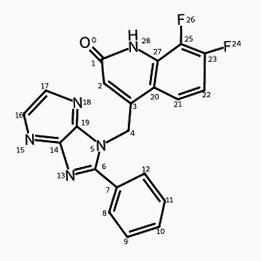 O=c1cc(Cn2c(-c3ccccc3)nc3nccnc32)c2ccc(F)c(F)c2[nH]1